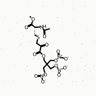 COC(=O)[C@@H](CSCC(=O)C(=O)OCC(CO[N+](=O)[O-])(CO[N+](=O)[O-])CO[N+](=O)[O-])NC(C)=O